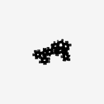 C1=Cc2ccc(-c3ccc4c(c3)nc(-c3ccccc3)n4-c3ccccc3)cc2C2(c3ccccc31)c1ccccc1-c1c2ccc2ccccc12